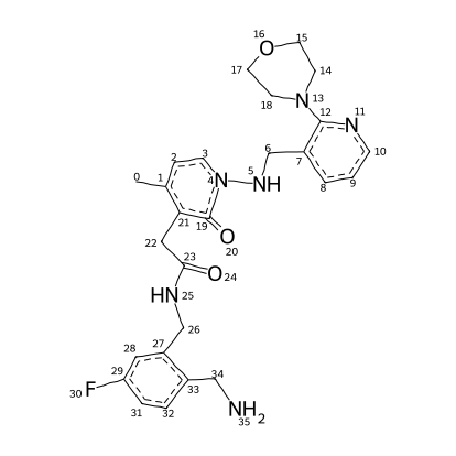 Cc1ccn(NCc2cccnc2N2CCOCC2)c(=O)c1CC(=O)NCc1cc(F)ccc1CN